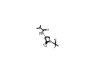 CC(C)C(=O)N[C@@H]1CN(C(F)(F)F)C1=O